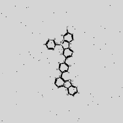 Ic1ccc2c3ccc(-c4ccc(-c5cccc6c5oc5ccccc56)cc4)cc3n(-c3ccccc3)c2c1